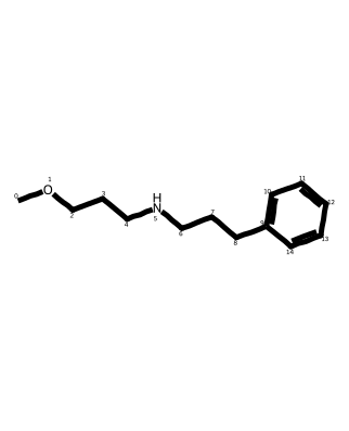 COCCCNCCCc1ccccc1